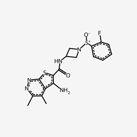 Cc1nnc2sc(C(=O)NC3CN([S+]([O-])c4ccccc4F)C3)c(N)c2c1C